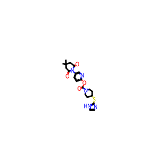 CC1(C)CC(=O)N(c2ccc(OC(=O)N3CCC(Sc4ncc[nH]4)CC3)nc2)C(=O)C1